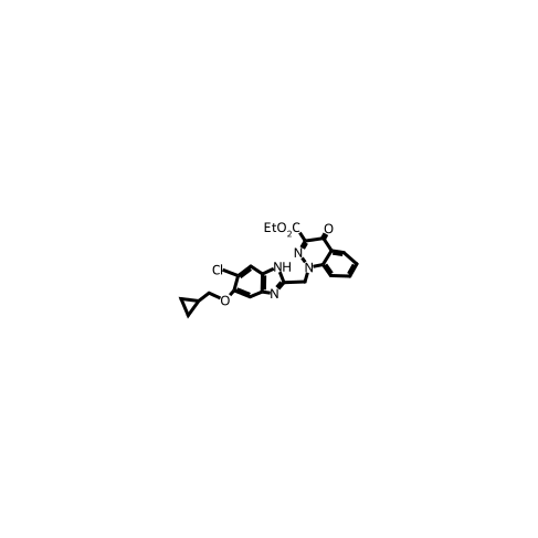 CCOC(=O)c1nn(Cc2nc3cc(OCC4CC4)c(Cl)cc3[nH]2)c2ccccc2c1=O